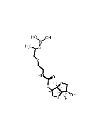 CC(COCCNC(=O)O[C@@H]1CO[C@H]2[C@@H]1OC[C@H]2O)ON(O)O